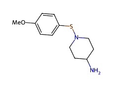 COc1ccc(SN2CCC(N)CC2)cc1